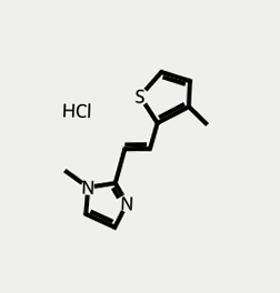 Cc1ccsc1C=Cc1nccn1C.Cl